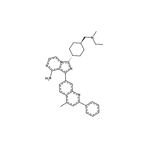 CCN(C)C[C@H]1CC[C@H](c2nc(-c3ccc4c(C)cc(-c5ccccc5)nc4c3)c3c(N)nccn32)CC1